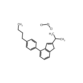 CCCCc1ccc(-c2cccc3c2C=C(C(C)C)[CH]3)cc1.[Cl][Zr][Cl]